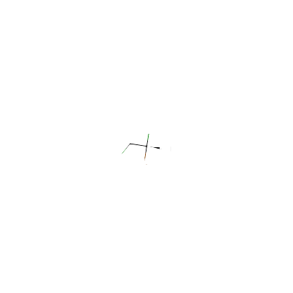 C[C@@](F)(S)CF